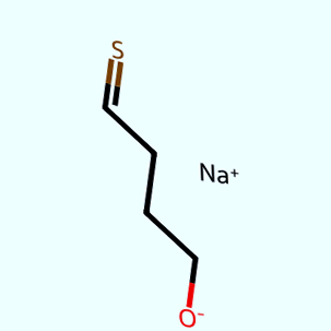 [Na+].[O-]CCCC=S